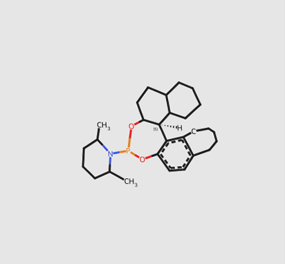 CC1CCCC(C)N1P1Oc2ccc3c(c2[C@H]2C(CCC4CCCCC42)O1)CCCCC3